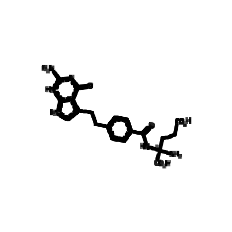 Nc1nc(=O)c2c(CCc3ccc(C(=O)N[C@@](N)(CCC(=O)O)C(=O)O)cc3)c[nH]c2[nH]1